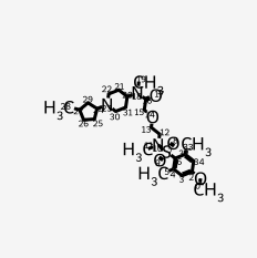 COc1cc(C)c(S(=O)(=O)N(C)CCOCC(=O)N(C)C2CCN(C3CCC(C)C3)CC2)c(C)c1